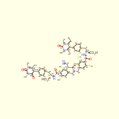 CC=C1C(c2ccc(C[C@H](NC(=O)c3c(F)cc(CN(Cc4cc(F)c(C(=O)N[C@@H](Cc5ccc(-c6c(C)n(C)c(=O)n(C)c6=O)cc5)C(=O)O)c(F)c4)C(=O)CCN)cc3F)C(=O)O)cc2)=C(C)N(C)C(=O)N1C